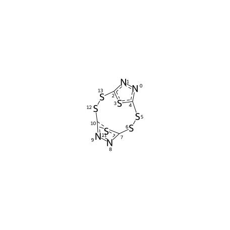 n1nc2sc1SSc1nnc(s1)SS2